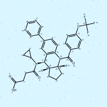 O=C(O)CCC(=O)N(C1CC1)[C@H]1c2cc(-c3cncnc3)ccc2N(C(=O)c2ccc(OC(F)(F)F)cc2)[C@@H]2CCC[C@@H]21